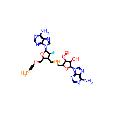 Nc1ncnc2c1ncn2C1OC(CPCC2C(COC#CP)OC(n3cnc4c(N)ncnc43)C2F)C(OO)C1O